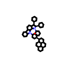 c1ccc(-c2c(-c3ccccc3)n(-c3ccccc3)c3c2ccc2c4ccccc4n(-c4ccc(-c5ccc6ccc7cccc8ccc5c6c78)cc4)c23)cc1